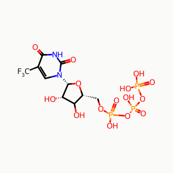 O=c1[nH]c(=O)n([C@@H]2O[C@H](COP(=O)(O)OP(=O)(O)OP(=O)(O)O)C(O)[C@@H]2O)cc1C(F)(F)F